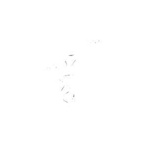 NCC(C(=O)Nc1cc2ccncc2s1)c1ccc(CCCO)cc1